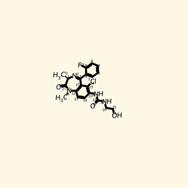 C[C@H]1N=C(c2ccccc2F)c2c(ccc(NC(=O)NCCO)c2Cl)N(C)C1=O